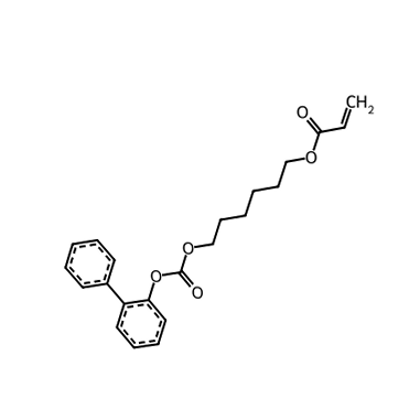 C=CC(=O)OCCCCCCOC(=O)Oc1ccccc1-c1ccccc1